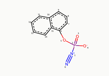 N#[N+]P(=O)([O-])Oc1cccc2ccccc12